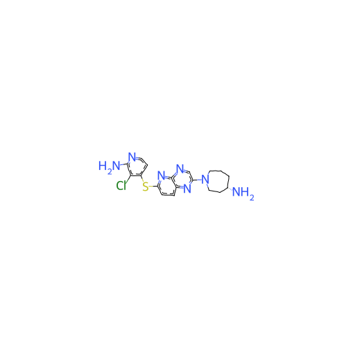 Nc1nccc(Sc2ccc3nc(N4CCC[C@H](N)CC4)cnc3n2)c1Cl